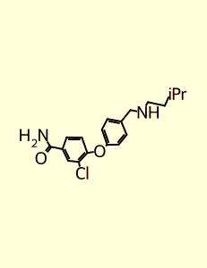 CC(C)CCNCc1ccc(Oc2ccc(C(N)=O)cc2Cl)cc1